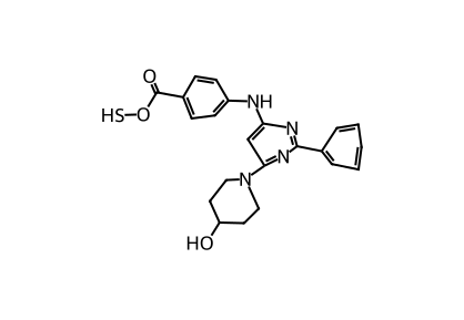 O=C(OS)c1ccc(Nc2cc(N3CCC(O)CC3)nc(-c3ccccc3)n2)cc1